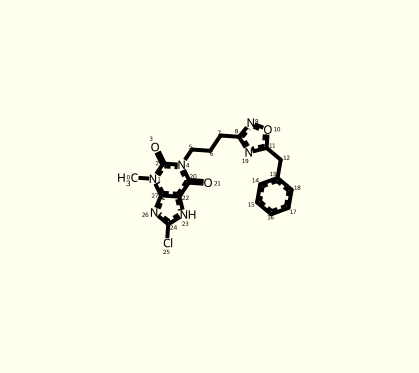 Cn1c(=O)n(CCCc2noc(Cc3ccccc3)n2)c(=O)c2[nH]c(Cl)nc21